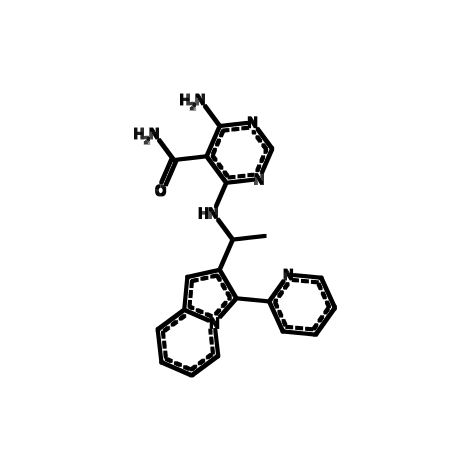 CC(Nc1ncnc(N)c1C(N)=O)c1cc2ccccn2c1-c1ccccn1